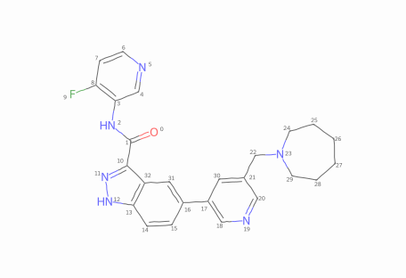 O=C(Nc1cnccc1F)c1n[nH]c2ccc(-c3cncc(CN4CCCCCC4)c3)cc12